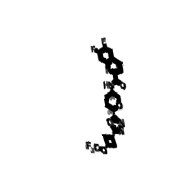 O=C(N[C@@H]1CC[C@@H](c2nnc([C@H]3C[C@@H](OC(F)(F)F)C3)o2)OC1)c1ccc2cc(F)c(F)cc2n1